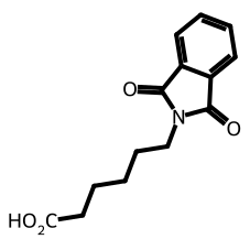 O=C(O)CCCCCN1C(=O)c2ccccc2C1=O